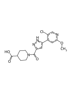 COc1cc(-c2cc(C(=O)N3CCC(C(=O)O)CC3)n[nH]2)c(Cl)cn1